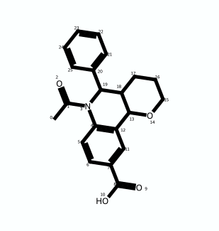 CC(=O)N1c2ccc(C(=O)O)cc2C2OCCCC2C1c1ccccc1